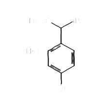 CC(C)C(C(=O)O)c1ccc(Br)cc1.Cl